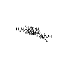 CCCN(CO)C(=O)O[C@H]1CC[C@@]2(C)[C@H](CC[C@@H]3[C@@H]2CC[C@]2(C)[C@@H](CN)CC[C@]32O)C1